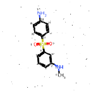 CNc1cccc(S(=O)(=O)c2ccc(N)cc2)c1